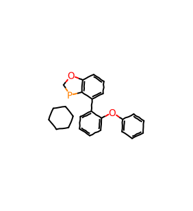 c1ccc(Oc2ccccc2-c2cccc3c2[P@@](C2CCCCC2)CO3)cc1